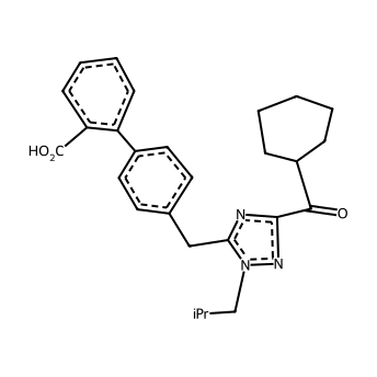 CC(C)Cn1nc(C(=O)C2CCCCC2)nc1Cc1ccc(-c2ccccc2C(=O)O)cc1